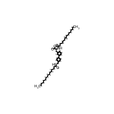 CCCCCCCCCCCCCCCC(=O)NCc1ccc(-c2cccc(C[C@H](NC(=O)CCCCCCCCCCCCCCC)C(=O)O)c2)cc1